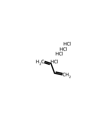 C=CC=C.Cl.Cl.Cl.Cl